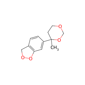 CC1(c2ccc3c(c2)OOC3)CCOCO1